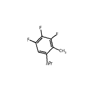 CCCc1cc(F)c(F)c(F)c1C